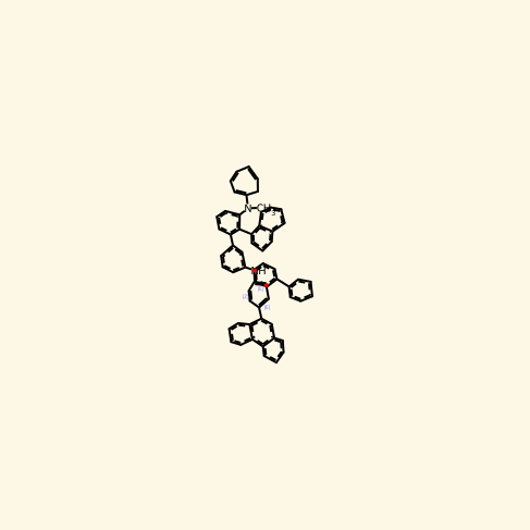 CN(C1=CC=CC=CC1)c1cccc(-c2cccc(N/C=C/C=C(\C=C/c3cccc(-c4ccccc4)c3)c3cc4ccccc4c4ccccc34)c2)c1-c1cccc2ccccc12